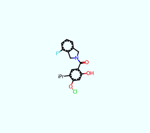 CC(C)c1cc(C(=O)N2Cc3cccc(F)c3C2)c(O)cc1OCl